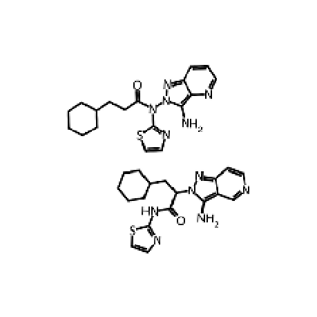 Nc1c2cnccc2nn1C(CC1CCCCC1)C(=O)Nc1nccs1.Nc1c2ncccc2nn1N(C(=O)CCC1CCCCC1)c1nccs1